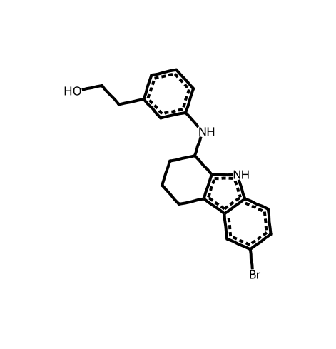 OCCc1cccc(NC2CCCc3c2[nH]c2ccc(Br)cc32)c1